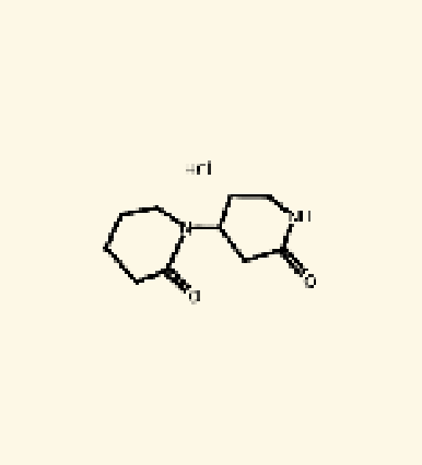 Cl.O=C1CC(N2CCCCC2=O)CCN1